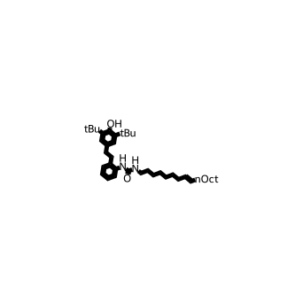 CCCCCCCCC=CCCCCCCCNC(=O)Nc1ccccc1CCc1cc(C(C)(C)C)c(O)c(C(C)(C)C)c1